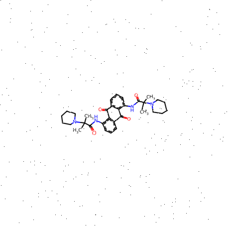 CC(C)(C(=O)Nc1cccc2c1C(=O)c1cccc(NC(=O)C(C)(C)N3CCCCC3)c1C2=O)N1CCCCC1